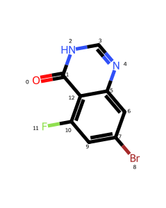 O=c1[nH]cnc2cc(Br)cc(F)c12